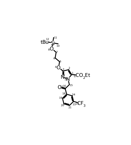 CCOC(=O)c1cc(OCCCO[Si](C)(C)C(C)(C)C)nn1CC(=O)c1cccc(C(F)(F)F)c1